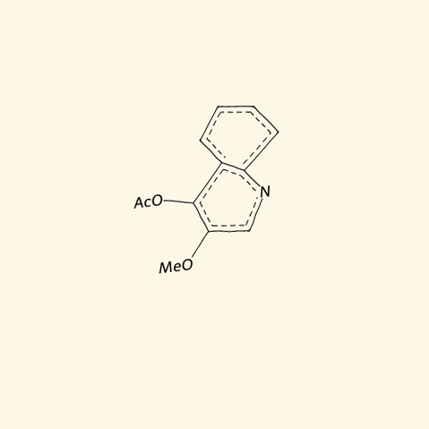 COc1cnc2ccccc2c1OC(C)=O